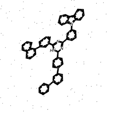 c1ccc(-c2cccc(-c3ccc(C4N=C(c5cccc(-n6c7ccccc7c7ccccc76)c5)N=C(c5cccc(-c6cccc7ccccc67)c5)N4)cc3)c2)cc1